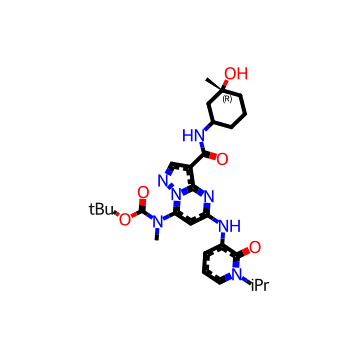 CC(C)n1cccc(Nc2cc(N(C)C(=O)OC(C)(C)C)n3ncc(C(=O)NC4CCC[C@@](C)(O)C4)c3n2)c1=O